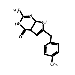 Cc1ccc(CC2=CC3C(=O)NC(N)=NC3N2)cc1